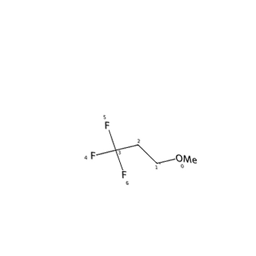 CO[CH]CC(F)(F)F